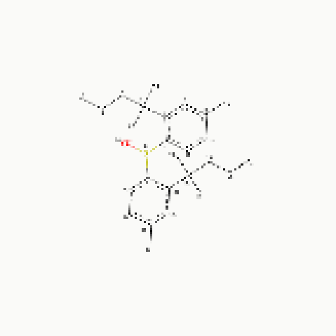 CCCC(C)(C)c1cc(C)ccc1[S+]([O-])c1ccc(C)cc1C(C)(C)CCC